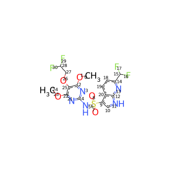 COc1nc(NS(=O)(=O)c2c[nH]c3nc(C(F)F)ccc23)nc(OC)c1OCC(F)F